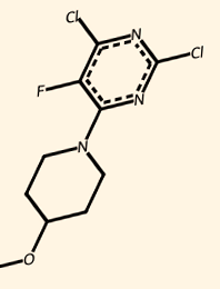 COC1CCN(c2nc(Cl)nc(Cl)c2F)CC1